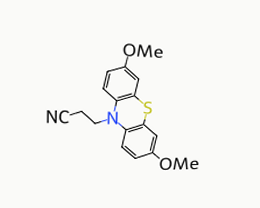 COc1ccc2c(c1)Sc1cc(OC)ccc1N2CCC#N